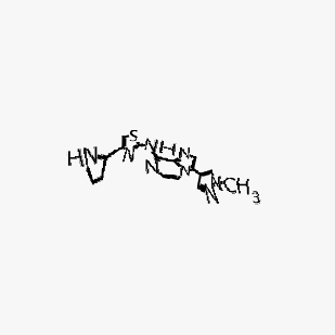 Cn1cc(-c2cnc3c(Nc4nc(C5CCCN5)cs4)nccn23)cn1